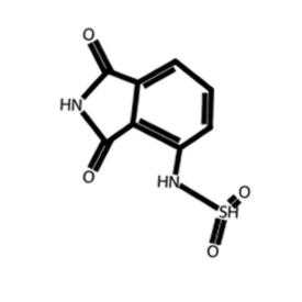 O=C1NC(=O)c2c(N[SH](=O)=O)cccc21